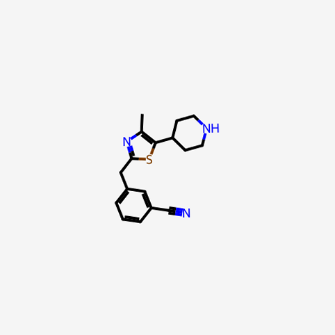 Cc1nc(Cc2cccc(C#N)c2)sc1C1CCNCC1